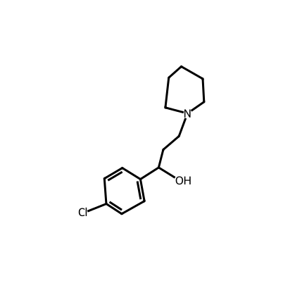 OC(CCN1CCCCC1)c1ccc(Cl)cc1